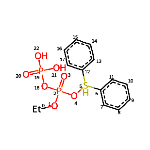 CCOP(=O)(O[SH](c1ccccc1)c1ccccc1)OP(=O)(O)O